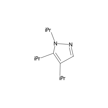 CC(C)c1cnn(C(C)C)c1C(C)C